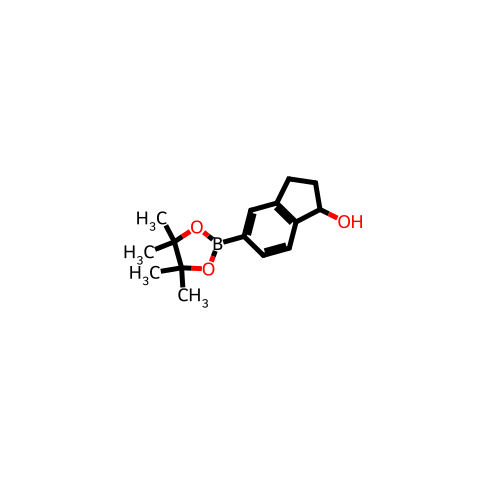 CC1(C)OB(c2ccc3c(c2)CCC3O)OC1(C)C